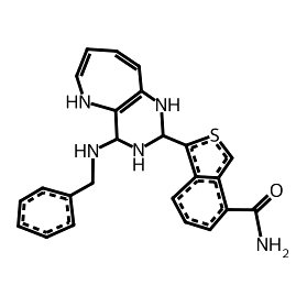 NC(=O)c1cccc2c(C3NC4=C(NC=CC=C4)C(NCc4ccccc4)N3)scc12